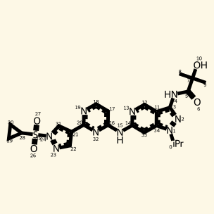 CC(C)n1nc(NC(=O)C(C)(C)O)c2cnc(Nc3ccnc(-c4cnn(S(=O)(=O)C5CC5)c4)n3)cc21